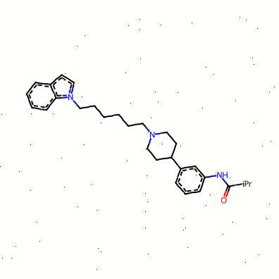 CC(C)C(=O)Nc1cccc(C2CCN(CCCCCCn3ccc4ccccc43)CC2)c1